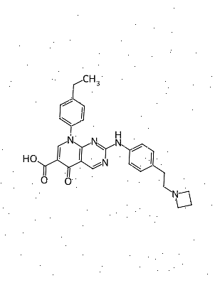 CCc1ccc(-n2cc(C(=O)O)c(=O)c3cnc(Nc4ccc(CCN5CCC5)cc4)nc32)cc1